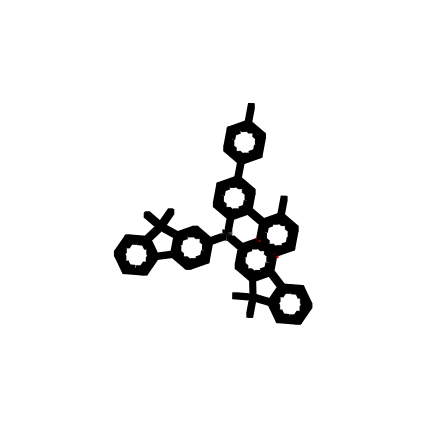 Cc1ccc(-c2ccc(N(c3ccc4c(c3)C(C)(C)c3ccccc3-4)c3ccc4c(c3)C(C)(C)c3ccccc3-4)c(-c3ccccc3C)c2)cc1